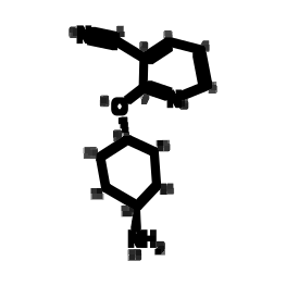 N#Cc1cccnc1O[C@H]1CC[C@H](N)CC1